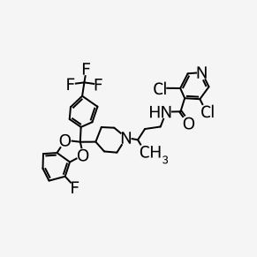 CC(CCNC(=O)c1c(Cl)cncc1Cl)N1CCC(C2(c3ccc(C(F)(F)F)cc3)Oc3cccc(F)c3O2)CC1